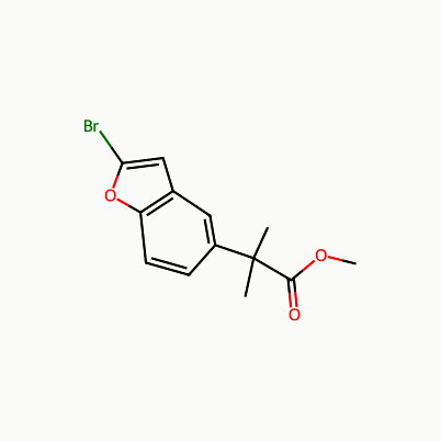 COC(=O)C(C)(C)c1ccc2oc(Br)cc2c1